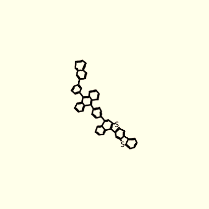 c1cc(-c2ccc3ccccc3c2)cc(-c2c3ccccc3c(-c3ccc(-c4cc5sc6cc7c(cc6c5c5ccccc45)sc4ccccc47)cc3)c3ccccc23)c1